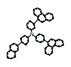 c1cc(-c2cc3ccccc3c3ccccc23)cc(N(c2ccc(-c3ccc4ccccc4c3)cc2)c2ccc(-c3cc4ccccc4c4ccccc34)cc2)c1